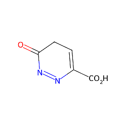 O=C1CC=C(C(=O)O)N=N1